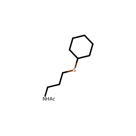 CC(=O)NCCCSC1CCCCC1